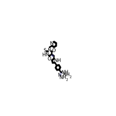 N/N=C(\NN)c1ccc(-c2ccc(/C=C3\C(=O)NC(=S)N(Cc4ccccn4)C3=O)[nH]2)cc1